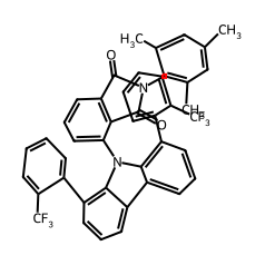 Cc1cc(C)c(N2C(=O)c3cccc(-n4c5c(-c6ccccc6C(F)(F)F)cccc5c5cccc(-c6ccccc6C(F)(F)F)c54)c3C2=O)c(C)c1